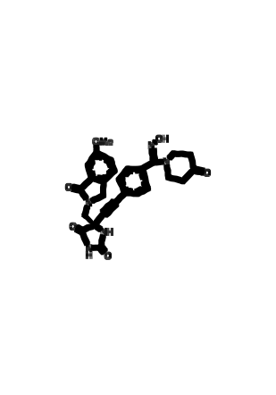 COc1ccc2c(c1)C(=O)N(C[C@@]1(C#Cc3ccc(C(=NO)N4CCC(=O)CC4)cc3)NC(=O)NC1=O)C2